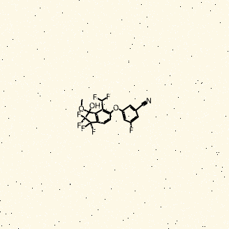 COC1(O)c2c(ccc(Oc3cc(F)cc(C#N)c3)c2C(F)F)C(F)(F)C1(F)F